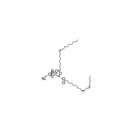 CCCC/C=C\C/C=C\CCCCCCCC(=O)OC[C@H](COP(=O)([O-])OCC[N+](C)(C)C)OC(=O)CCCCCCC/C=C\CCCCCCCC